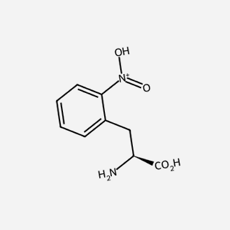 N[C@@H](Cc1ccccc1[N+](=O)O)C(=O)O